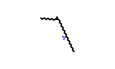 CCCCCCCCCC(CCCCCCCCCC1CC1CCCCCCCC)N(C)C